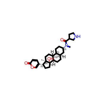 CN(C(=O)C1CCNC1)[C@H]1CC[C@@]2(C)[C@H](CC[C@@H]3[C@@H]2CC[C@]2(C)[C@@H](c4ccc(=O)oc4)CC[C@]32O)C1